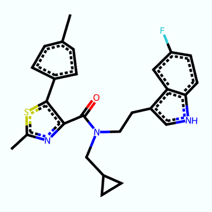 Cc1ccc(-c2sc(C)nc2C(=O)N(CCc2c[nH]c3ccc(F)cc23)CC2CC2)cc1